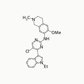 CCn1cc(-c2nc(Nc3cc4c(cc3OC)CCN(C)C4)ncc2Cl)c2ccccc21